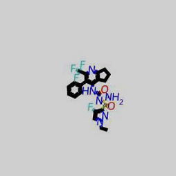 CCn1cc(F)c([S@](N)(=O)=NC(=O)Nc2c3c(nc(C(F)(F)F)c2-c2ccccc2)CCC3)n1